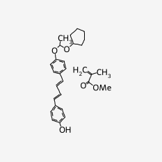 C=C(C)C(=O)OC.CC(Oc1ccc(C=CC=Cc2ccc(O)cc2)cc1)OC1CCCCC1